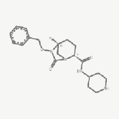 O=C(NC1CCNCC1)[C@@H]1CC[C@@H]2CN1C(=O)N2OCc1ccccc1